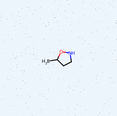 BC1CCNO1